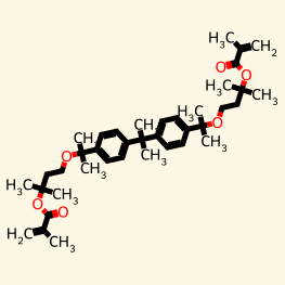 C=C(C)C(=O)OC(C)(C)CCOC(C)(C)c1ccc(C(C)(C)c2ccc(C(C)(C)OCCC(C)(C)OC(=O)C(=C)C)cc2)cc1